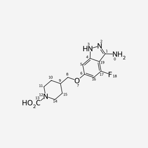 Nc1n[nH]c2cc(OCC3CCN(C(=O)O)CC3)cc(F)c12